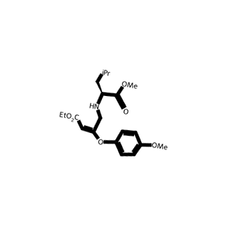 CCOC(=O)/C=C(\CN[C@@H](CC(C)C)C(=O)OC)Oc1ccc(OC)cc1